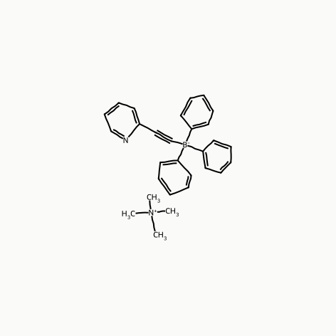 C(#C[B-](c1ccccc1)(c1ccccc1)c1ccccc1)c1ccccn1.C[N+](C)(C)C